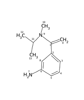 C=C(c1cccc(N)c1)N(C)C(C)C